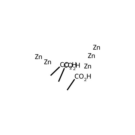 CC(=O)O.CC(=O)O.CC(=O)O.[Zn].[Zn].[Zn].[Zn].[Zn]